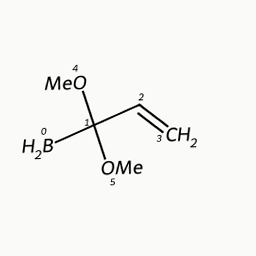 BC(C=C)(OC)OC